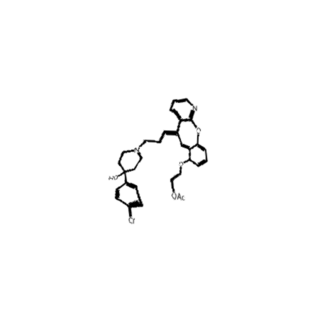 CC(=O)OCCOC1C=CC=C2Oc3ncccc3C(=CCCN3CCC(O)(c4ccc(Cl)cc4)CC3)C=C21